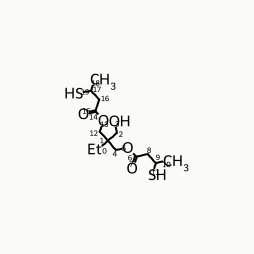 CCC(CO)(COC(=O)CC(C)S)COC(=O)CC(C)S